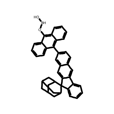 OBOc1c2ccccc2c(-c2ccc3cc4c(cc3c2)C2(c3ccccc3-4)C3CC4CC(C3)CC2C4)c2ccccc12